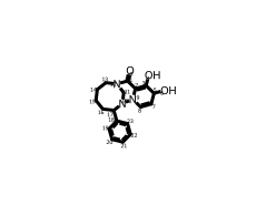 O=C1C2=C(O)C(O)C=CN2N2CN1CCCCC2c1ccccc1